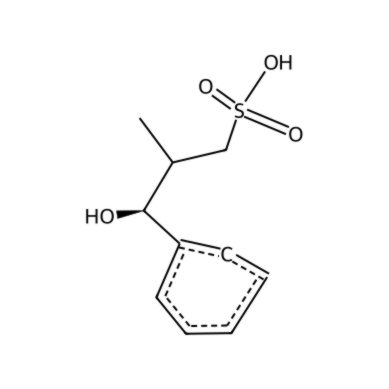 CC(CS(=O)(=O)O)[C@H](O)c1ccccc1